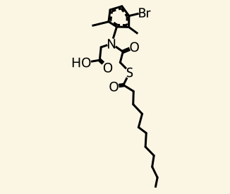 CCCCCCCCCCC(=O)SCC(=O)N(CC(=O)O)c1c(C)ccc(Br)c1C